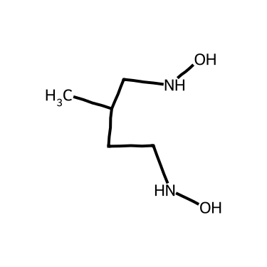 CC(CCNO)CNO